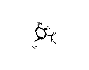 COC(=O)C1C=C(C)C=C(N)C1=S.Cl